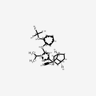 CC(C)n1nc(NC2[C@@H]3CC[C@H]2CN(C#N)C3)nc1Oc1ccccc1OC(F)(F)F